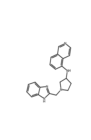 c1cc(NC2CCN(Cc3nc4ccccc4[nH]3)C2)c2ccncc2c1